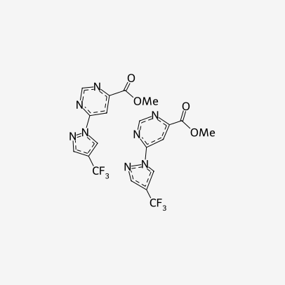 COC(=O)c1cc(-n2cc(C(F)(F)F)cn2)ncn1.COC(=O)c1cc(-n2cc(C(F)(F)F)cn2)ncn1